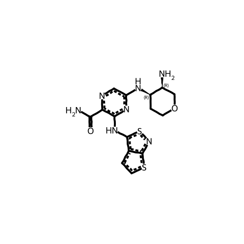 NC(=O)c1ncc(N[C@@H]2CCOC[C@@H]2N)nc1Nc1snc2sccc12